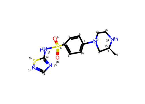 C[C@H]1CN(c2ccc(S(=O)(=O)Nc3ncns3)cc2)CCN1